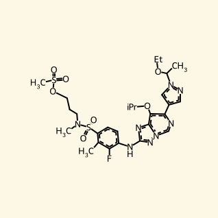 CCOC(C)n1cc(-c2ncn3nc(Nc4ccc(S(=O)(=O)N(C)CCCOS(C)(=O)=O)c(C)c4F)nc3c2OC(C)C)cn1